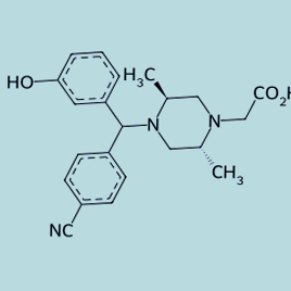 C[C@@H]1CN(C(c2ccc(C#N)cc2)c2cccc(O)c2)[C@@H](C)CN1CC(=O)O